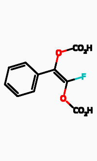 O=C(O)O/C(F)=C(/OC(=O)O)c1ccccc1